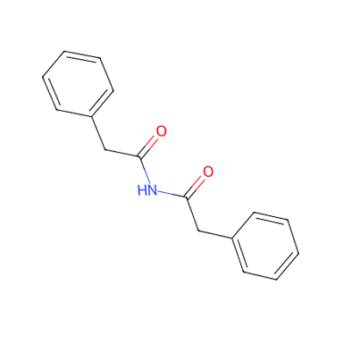 O=C(Cc1ccccc1)NC(=O)Cc1ccccc1